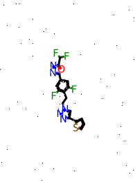 Fc1cc(-c2nnc(C(F)F)o2)cc(F)c1CCn1cc(-c2cccs2)nn1